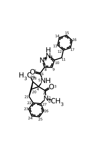 CN1C(=O)C2(NC(=O)c3cc(Cc4ccccc4)[nH]n3)C3C(c4ccccc41)C32C